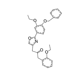 CCOc1ccccc1CC(=O)Cc1coc(-c2ccc(OCc3ccccc3)c(OCC)c2)n1